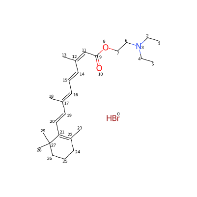 Br.CCN(CC)CCOC(=O)\C=C(C)/C=C/C=C(C)/C=C/C1=C(C)CCCC1(C)C